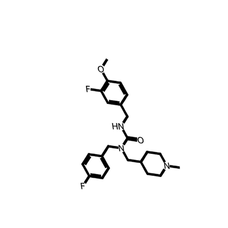 COc1ccc(CNC(=O)N(Cc2ccc(F)cc2)CC2CCN(C)CC2)cc1F